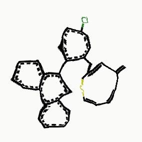 C=C1/C=C\C=C/S/C(c2cc(Cl)ccc2-c2cc3ccccc3c3ccccc23)=C\1